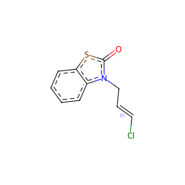 O=c1sc2ccccc2n1C/C=C/Cl